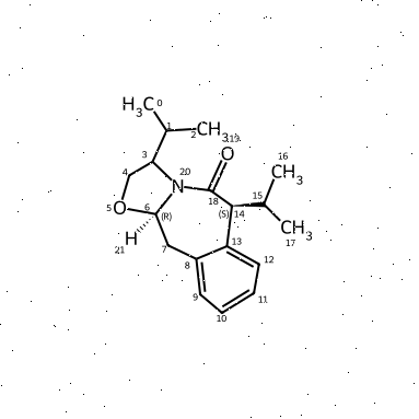 CC(C)C1CO[C@@H]2Cc3ccccc3[C@H](C(C)C)C(=O)N12